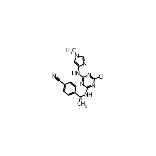 C[C@H](Nc1nc(Cl)nc(Nc2cn(C)cn2)n1)c1ccc(C#N)cc1